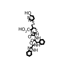 O=C(O)C1=C(CSc2ccc(O)nn2)CS[C@H]2C(NC(=O)C(NC(=O)c3nc4ccccc4[nH]3)c3ccccc3)C(=O)N12